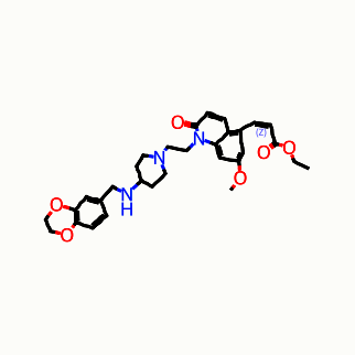 CCOC(=O)/C=C\c1cc(OC)cc2c1ccc(=O)n2CCN1CCC(NCc2ccc3c(c2)OCCO3)CC1